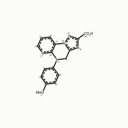 COc1ccc(N2Cc3nc(C(=O)O)nn3-c3cccnc32)cc1